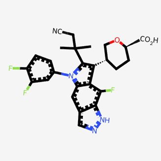 CC(C)(CC#N)c1c([C@H]2CC[C@H](C(=O)O)OC2)c2c(F)c3[nH]ncc3cc2n1-c1ccc(F)c(F)c1